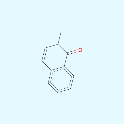 CC1C=Cc2ccccc2C1=O